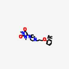 CC(=O)c1ccccc1OCCCN1CCN(c2cc(=O)n(C)c(=O)n2C)CC1